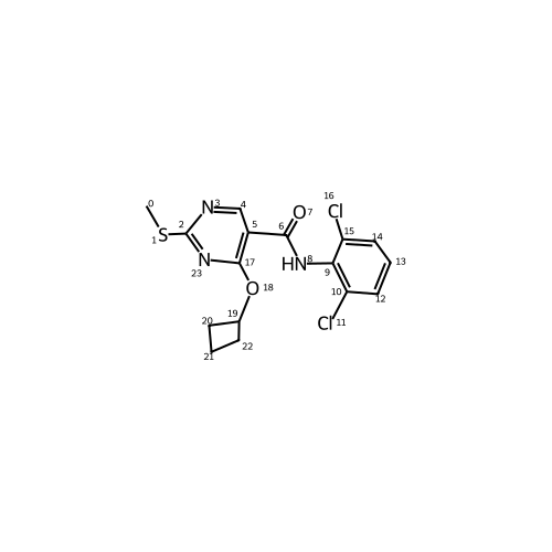 CSc1ncc(C(=O)Nc2c(Cl)cccc2Cl)c(OC2CCC2)n1